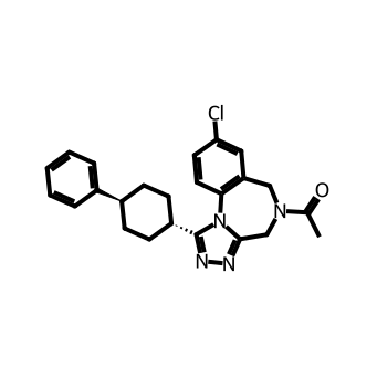 CC(=O)N1Cc2cc(Cl)ccc2-n2c(nnc2[C@H]2CC[C@H](c3ccccc3)CC2)C1